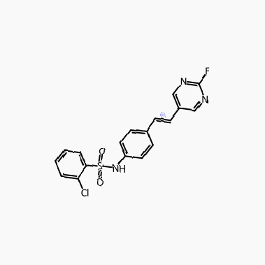 O=S(=O)(Nc1ccc(/C=C/c2cnc(F)nc2)cc1)c1ccccc1Cl